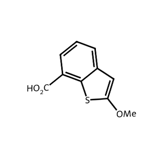 COc1cc2cccc(C(=O)O)c2s1